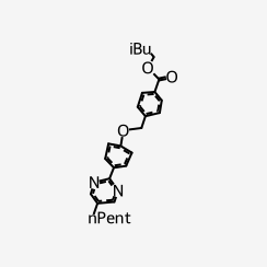 CCCCCc1cnc(-c2ccc(OCc3ccc(C(=O)OCC(C)CC)cc3)cc2)nc1